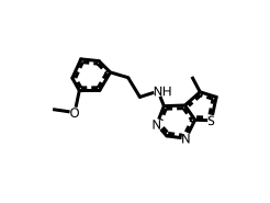 COc1cccc(CCNc2ncnc3scc(C)c23)c1